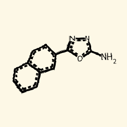 Nc1nnc(-c2ccc3ccccc3c2)o1